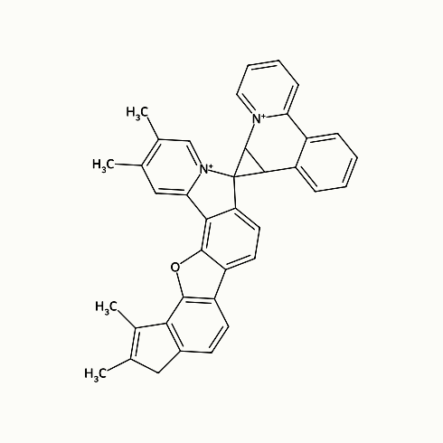 CC1=C(C)c2c(ccc3c2oc2c4c(ccc23)C2(C3c5ccccc5-c5cccc[n+]5C32)[n+]2cc(C)c(C)cc2-4)C1